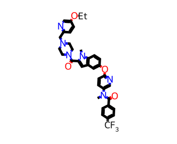 CCOc1ccc(CN2CCN(C(=O)c3cc4cc(Oc5ccc(N(C)C(=O)c6ccc(C(F)(F)F)cc6)cn5)ccc4n3C)CC2)nc1